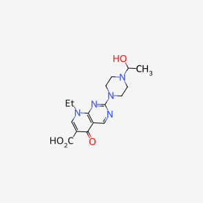 CCn1cc(C(=O)O)c(=O)c2cnc(N3CCN(C(C)O)CC3)nc21